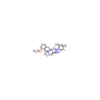 COc1cccc(CC2=C3CN(c4ccc(F)cc4Cl)NC3=CCN2C)c1